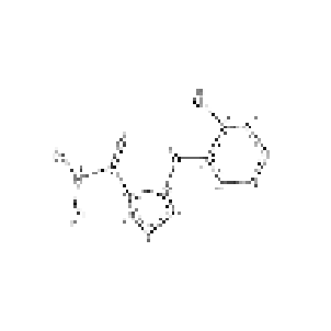 CCN(C(=O)c1sccc1Oc1cncnc1Cl)C(C)C